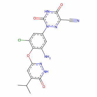 CC(C)c1cc(Oc2c(N)cc(-n3nc(C#N)c(=O)[nH]c3=O)cc2Cl)n[nH]c1=O